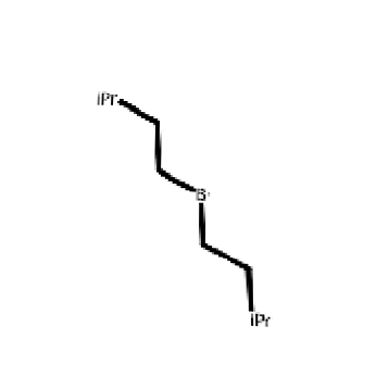 CC(C)CC[B]CCC(C)C